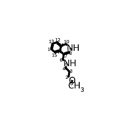 COCCCNCC1=CNCc2ccccc21